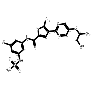 Cc1sc(C(=O)Nc2cc(Cl)cc(NS(C)(=O)=O)c2)cc1-c1ncc(OC(C)CO)cn1